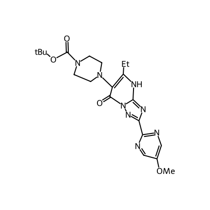 CCc1[nH]c2nc(-c3ncc(OC)cn3)nn2c(=O)c1N1CCN(C(=O)OC(C)(C)C)CC1